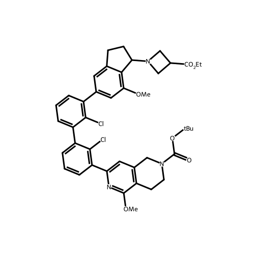 CCOC(=O)C1CN(C2CCc3cc(-c4cccc(-c5cccc(-c6cc7c(c(OC)n6)CCN(C(=O)OC(C)(C)C)C7)c5Cl)c4Cl)cc(OC)c32)C1